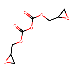 O=C(OCC1CO1)OC(=O)OCC1CO1